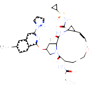 COc1ccc2c(OC3C[C@H]4C(=O)N[C@]5(C(=O)NS(=O)(=O)C6CC6)CC5/C=C\COCCC[C@H](NC(=O)OC(C)(C)C)C(=O)N4C3)nc(-n3cccn3)cc2c1